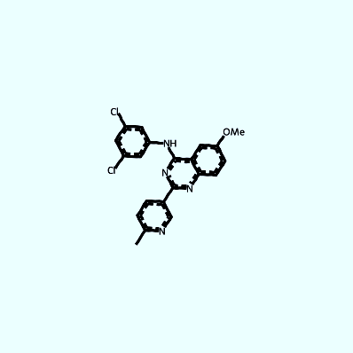 COc1ccc2nc(-c3ccc(C)nc3)nc(Nc3cc(Cl)cc(Cl)c3)c2c1